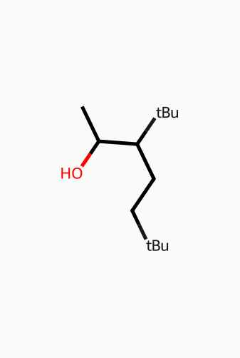 CC(O)C(CCC(C)(C)C)C(C)(C)C